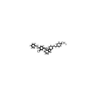 CN1CCN(CCC2CCc3c(sc4ncnc(Nc5ccc(OCc6ccccn6)c(Cl)c5)c34)C2)CC1